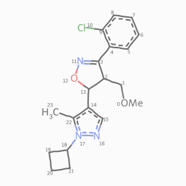 COCC1C(c2ccccc2Cl)=NOC1c1cnn(C2CCC2)c1C